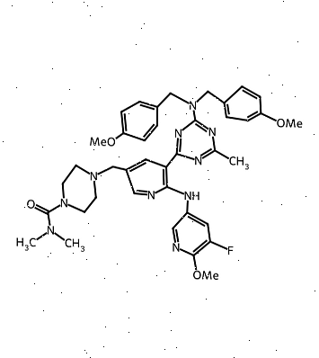 COc1ccc(CN(Cc2ccc(OC)cc2)c2nc(C)nc(-c3cc(CN4CCN(C(=O)N(C)C)CC4)cnc3Nc3cnc(OC)c(F)c3)n2)cc1